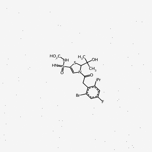 CC(C)c1cc(F)cc(Br)c1CC(=O)N1C=C(S(=N)(=O)NC(=O)O)SC1C(C)(C)O